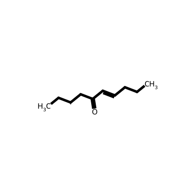 CC[CH]CC(=O)C=CCCC